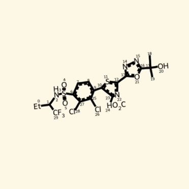 CCC(NS(=O)(=O)c1ccc(-c2sc(-c3nnc(C(C)(C)O)o3)nc2C(=O)O)c(Cl)c1Cl)C(F)(F)F